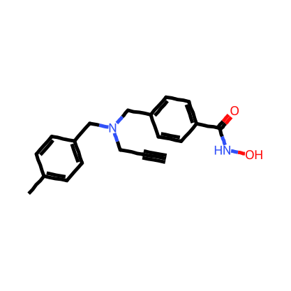 C#CCN(Cc1ccc(C)cc1)Cc1ccc(C(=O)NO)cc1